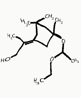 CCOC(C)OC1(C)C/C(=C(/C)CO)C1(C)C